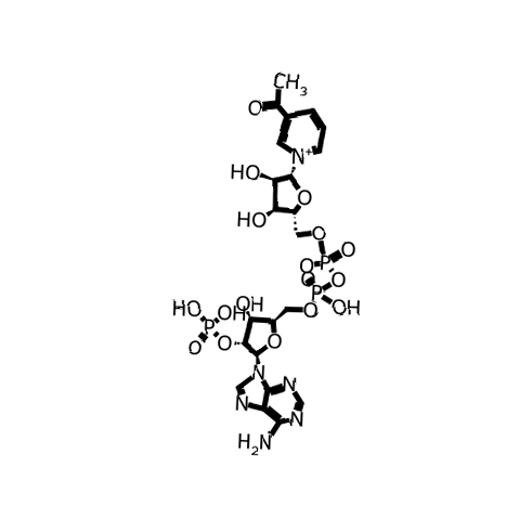 CC(=O)c1ccc[n+]([C@@H]2O[C@H](COP(=O)([O-])OP(=O)(O)OC[C@H]3O[C@@H](n4cnc5c(N)ncnc54)[C@H](OP(=O)(O)O)[C@@H]3O)[C@@H](O)[C@H]2O)c1